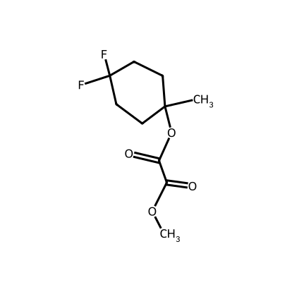 COC(=O)C(=O)OC1(C)CCC(F)(F)CC1